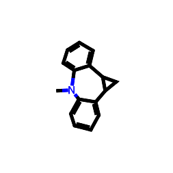 CN1c2ccccc2C2CC2c2ccccc21